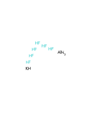 F.F.F.F.F.F.[AlH3].[KH]